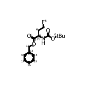 CC(C)(C)OC(=O)N[C@H](CCF)C(=O)OCc1ccccc1